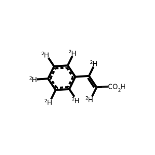 [2H]/C(C(=O)O)=C(/[2H])c1c([2H])c([2H])c([2H])c([2H])c1[2H]